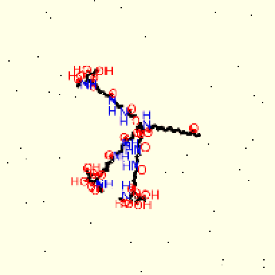 CCC(=O)CCCCCCCCCCC(=O)NC(COCCC(=O)NCCCNC(=O)CCCCOC1OC(CO)C(O)C(O)C1NC(C)=O)(COCCC(=O)NCCCNC(=O)CCCCOC1OC(CO)C(O)C(O)C1NC(C)=O)COCCC(=O)NCCCNC(=O)CCCCOC(OC(CO)[C@H](C)O)[C@H](CO)NC(C)=O